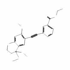 CCOC(=O)c1cccc(C#Cc2cc3c(cc2SC)OCCC3(SC)SC)c1